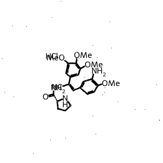 COc1ccc(/C=C(/C#N)c2cc(OC)c(OC)c(OC)c2)cc1N.Cl.NC(=O)[C@@H]1CCCN1